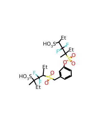 CCC(C(F)(F)C(C)(CC)S(=O)(=O)Oc1cccc(CS(=O)(=O)C(CC)C(F)(F)C(C)(CC)S(=O)(=O)O)c1)S(=O)(=O)O